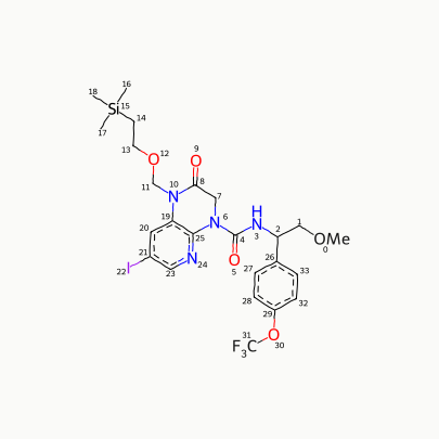 COCC(NC(=O)N1CC(=O)N(COCC[Si](C)(C)C)c2cc(I)cnc21)c1ccc(OC(F)(F)F)cc1